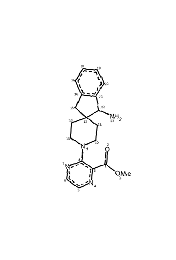 COC(=O)c1nccnc1N1CCC2(CC1)Cc1ccccc1C2N